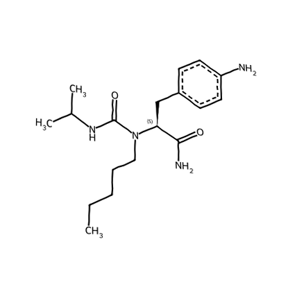 CCCCCN(C(=O)NC(C)C)[C@@H](Cc1ccc(N)cc1)C(N)=O